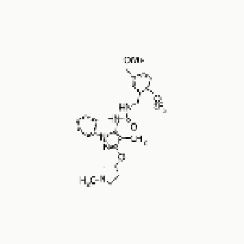 COCc1ccc(OC(F)(F)F)c(CNC(=O)Nc2c(C)c(OC3CCN(C)C3)nn2-c2ccccc2)c1